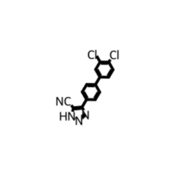 N#Cc1[nH]nnc1-c1ccc(-c2ccc(Cl)c(Cl)c2)cc1